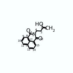 C=C(O)CCN1C(=O)c2cccc3cccc(c23)C1=O